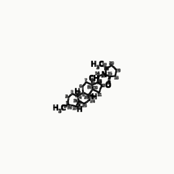 C[C@H]1CC[C@@H]2C3CC[C@@]4(C)C(CC[C@@H]4CN4C(=O)CCC[C@H]4C)[C@@H]3CC[C@@H]2C1